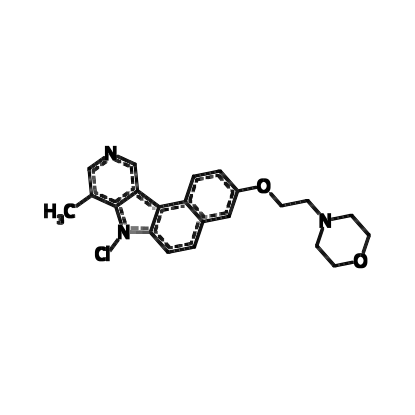 Cc1cncc2c3c4ccc(OCCN5CCOCC5)cc4ccc3n(Cl)c12